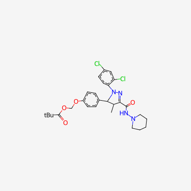 CC1C(C(=O)NN2CCCCC2)=NN(c2ccc(Cl)cc2Cl)C1c1ccc(OCOC(=O)C(C)(C)C)cc1